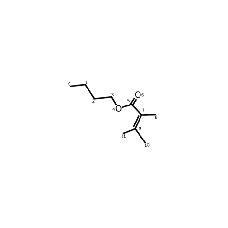 CCCCOC(=O)C(C)=C(C)C